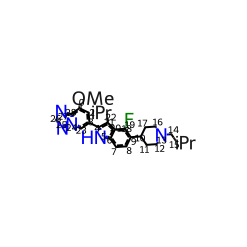 COc1cc(-c2[nH]c3ccc(C4CCN(CC(C)C)CC4)c(F)c3c2C(C)C)cn2ncnc12